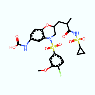 COc1cc(S(=O)(=O)N2CC(CC(C)C(=O)NS(=O)(=O)C3CC3)Oc3ccc(NC(=O)O)cc32)ccc1F